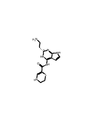 NCC[C@@H]1N=c2[nH]ccc2=C(NC(=O)C2=CNCCS2)N1